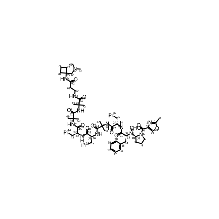 Cc1nc(C(=O)N2CCC[C@H]2N(C=O)[C@@H](Cc2ccccc2)C(=O)N[C@@H](CC(C)C)C(=O)NC(C)(C)C(=O)N[C@@H](CC(C)C)C(=O)N[C@@H](CC(C)C)C(=O)NC(C)(C)C(=O)NC(C)(C)C(=O)NCCC(=O)NC2(CN(C)C)CCC2)co1